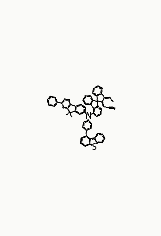 C#C/C=C1\C(=C/C)c2ccccc2C12c1ccccc1-c1c(N(c3ccc(-c4cccc5sc6ccccc6c45)cc3)c3ccc4c(c3)C(C)(C)c3cc(-c5ccccc5)ccc3-4)cccc12